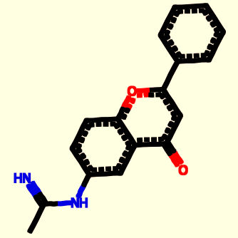 CC(=N)Nc1ccc2oc(-c3ccccc3)cc(=O)c2c1